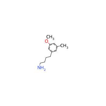 COc1cc(C)cc(CCCCN)c1